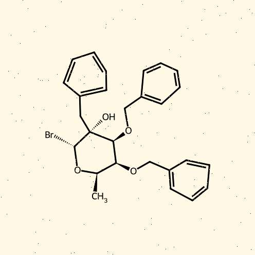 C[C@H]1O[C@H](Br)[C@@](O)(Cc2ccccc2)[C@@H](OCc2ccccc2)[C@H]1OCc1ccccc1